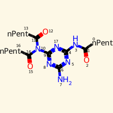 CCCCCC(=O)Nc1nc(N)nc(N(C(=O)CCCCC)C(=O)CCCCC)n1